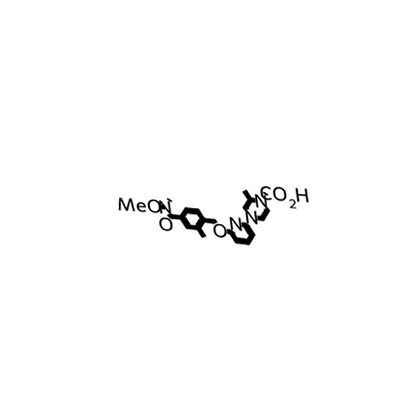 CON(C)C(=O)c1ccc(COc2cccc(N3CCN(C(=O)O)C(C)C3)n2)c(C)c1